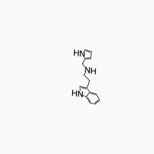 c1c[nH]c(CNCCc2c[nH]c3ccccc23)c1